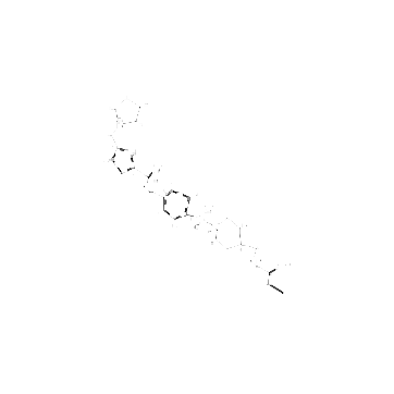 C=CC(=O)NCC1CCN(S(=O)(=O)c2ccc(NC(=O)c3ccc(CN4CCCC4)o3)cc2)CC1